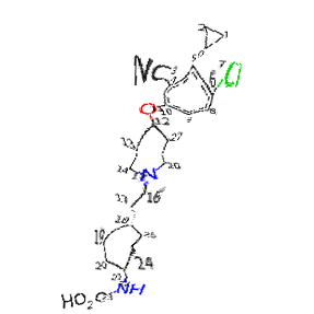 C1CC1.N#Cc1cc(Cl)ccc1OC1CCN(CC[C@H]2CC[C@H](NC(=O)O)CC2)CC1